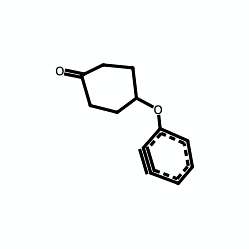 O=C1CCC(Oc2c#cccc2)CC1